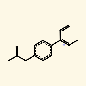 C=C/C(=C\C)c1ccc(CC(=C)C)cc1